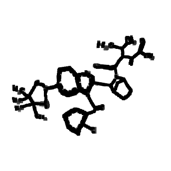 CC(=O)NC(C(=O)N1C2CCC(C2)C1c1nc2ccc(B3OC(C)(C)C(C)(C)O3)cc2n1C(=O)c1ccccc1Cl)C(C)C